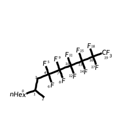 CCCCCCC(C)CC(F)(F)C(F)(F)C(F)(F)C(F)(F)C(F)(F)C(F)(F)F